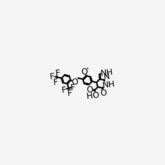 COc1cc(C2c3c[nH]nc3NC(=O)C2C(=O)O)ccc1COc1ccc(C(F)(F)F)cc1C(F)(F)F